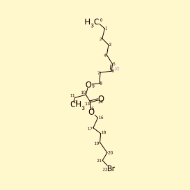 CCCCC/C=C\CCOC(CC)C(=O)OCCCCCCBr